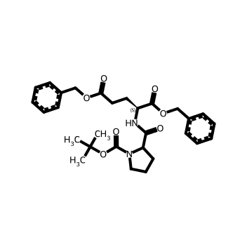 CC(C)(C)OC(=O)N1CCCC1C(=O)N[C@@H](CCC(=O)OCc1ccccc1)C(=O)OCc1ccccc1